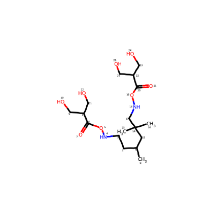 CC(CCNOC(=O)C(CO)CO)CC(C)(C)CNOC(=O)C(CO)CO